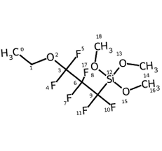 CCOC(F)(F)C(F)(F)C(F)(F)[Si](OC)(OC)OC